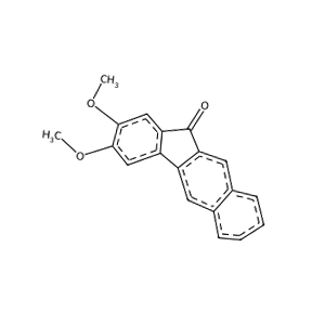 COc1cc2c(cc1OC)-c1cc3ccccc3cc1C2=O